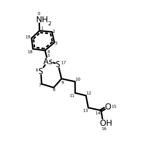 Nc1ccc([As]2SCCC(CCCCC(=O)O)S2)cc1